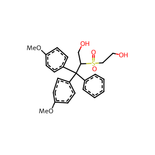 COc1ccc(C(c2ccccc2)(c2ccc(OC)cc2)C(CO)S(=O)(=O)CCO)cc1